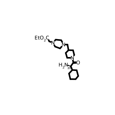 CCOC(=O)CN1CCN(CC2CCN(C(=O)[C@H](N)C3CCCCC3)CC2)CC1